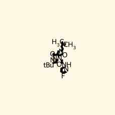 CN(C)CCN1Cc2c(n(CC(=O)Nc3ccc(F)cn3)c3cc(C(C)(C)C)nn3c2=O)C1=O